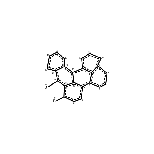 Brc1ccc2c3cccc4cccc(c43)c3c4ccccc4c(Br)c1c23